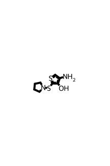 Nc1csc(SN2CCCC2)c1O